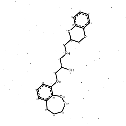 OC(CNCC1COc2ccccc2O1)COc1cccc2c1OOCCC2